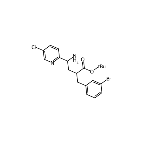 CC(C)(C)OC(=O)C(Cc1cccc(Br)c1)CC(N)c1ccc(Cl)cn1